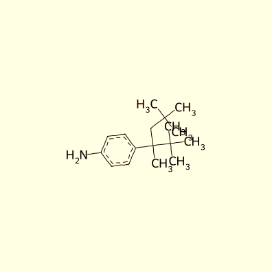 CC(C)(C)CC(C)(c1ccc(N)cc1)C(C)(C)C